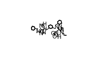 C=CCN1C[C@H]2COC(=O)N2Cc2c(N(Cc3ccccc3)Cc3cccc(CN4C[C@H]5CN5Cc5c(N(C)Cc6ccccc6)ncnc54)c3)ncnc21